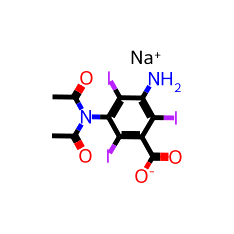 CC(=O)N(C(C)=O)c1c(I)c(N)c(I)c(C(=O)[O-])c1I.[Na+]